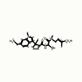 CNC(C(=O)NC(C(=O)N(C)C/C=C(\C)C(=O)O)C(C)(C)C)C(C)(C)c1cn(C)c2cc(CN)ccc12